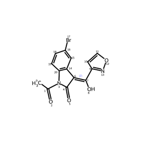 CC(=O)N1C(=O)/C(=C(\O)c2ccon2)c2cc(Br)ccc21